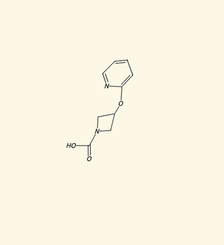 O=C(O)N1CC(Oc2ccccn2)C1